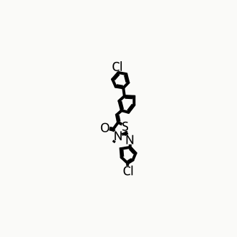 CN1C(=O)/C(=C/c2cccc(-c3ccc(Cl)cc3)c2)S/C1=N/c1ccc(Cl)cc1